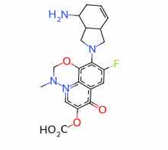 CN1COc2c(N3CC4C=CCC(N)C4C3)c(F)cc3c(=O)c(OC(=O)O)cn1c23